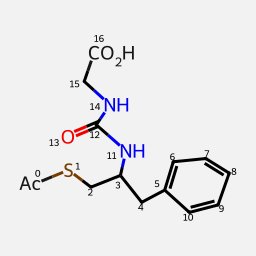 CC(=O)SCC(Cc1ccccc1)NC(=O)NCC(=O)O